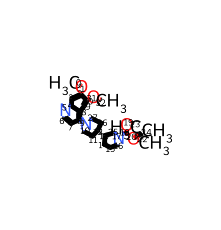 COc1cc2nccc(N3CCC([C@H]4CCCN(C(=O)OC(C)(C)C)C4)CC3)c2cc1OC